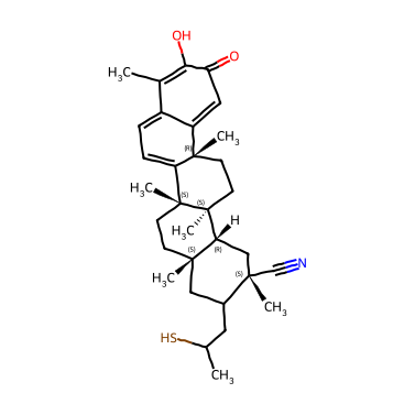 CC1=C(O)C(=O)C=C2C1=CC=C1[C@@]2(C)CC[C@@]2(C)[C@@H]3C[C@](C)(C#N)C(CC(C)S)C[C@]3(C)CC[C@]12C